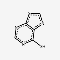 Sc1ncnc2scnc12